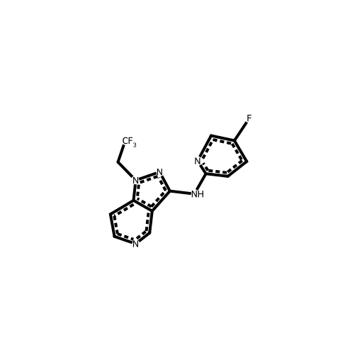 Fc1ccc(Nc2nn(CC(F)(F)F)c3ccncc23)nc1